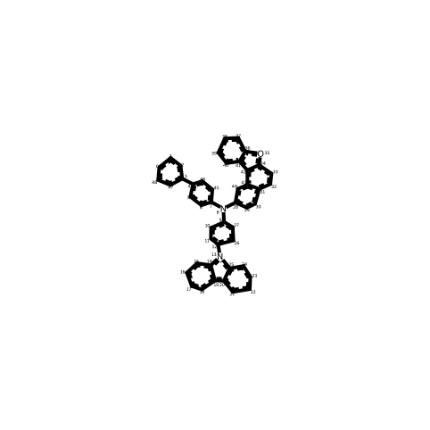 c1ccc(-c2ccc(N(c3ccc(-n4c5ccccc5c5ccccc54)cc3)c3ccc4ccc5oc6ccccc6c5c4c3)cc2)cc1